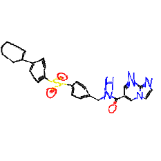 O=C(NCc1ccc(S(=O)(=O)c2ccc(C3CCCCC3)cc2)cc1)c1cnc2nccn2c1